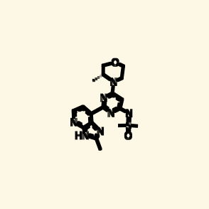 Cc1nc2c(-c3nc(N=S(C)(C)=O)cc(N4CCOC[C@H]4C)n3)ccnc2[nH]1